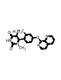 Cc1cc(Oc2nccc3cccnc23)ccc1-c1c(C)c(=O)[nH]c(=O)n1C